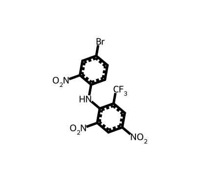 O=[N+]([O-])c1cc([N+](=O)[O-])c(Nc2ccc(Br)cc2[N+](=O)[O-])c(C(F)(F)F)c1